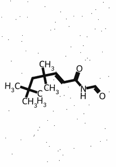 CC(C)(C)CC(C)(C)C=CC(=O)NC=O